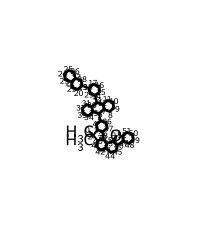 CC1(C)c2cc(-c3c4ccccc4c(-c4cccc(-c5ccc6ccccc6c5)c4)c4ccccc34)ccc2-c2c1ccc1ccc3c4ccccc4oc3c21